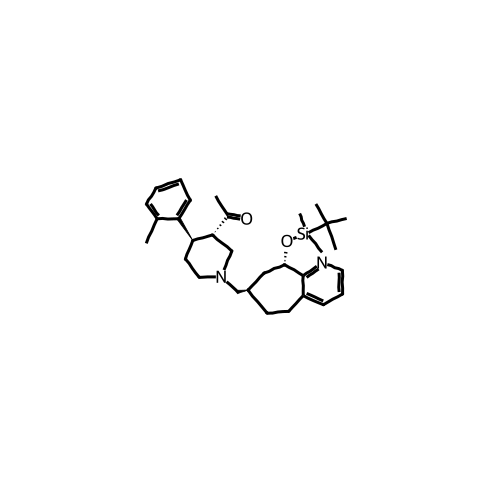 CC(=O)[C@@H]1CN(C[C@@H]2CCc3cccnc3[C@@H](O[Si](C)(C)C(C)(C)C)C2)CC[C@H]1c1ccccc1C